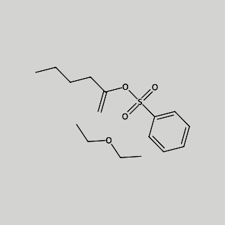 C=C(CCCC)OS(=O)(=O)c1ccccc1.CCOCC